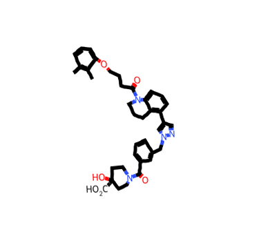 Cc1cccc(OCCCC(=O)N2CCCc3c(-c4cnn(Cc5cccc(C(=O)N6CCC(O)(C(=O)O)CC6)c5)c4)cccc32)c1C